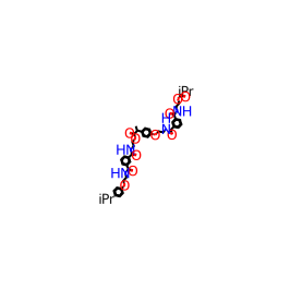 CC(C)C(=O)OCCNC(=O)c1cccc(C(=O)NCCOc2ccc(C(C)C(=O)OCCNC(=O)c3cccc(C(=O)NCCOc4ccc(C(C)C)cc4)c3)cc2)c1